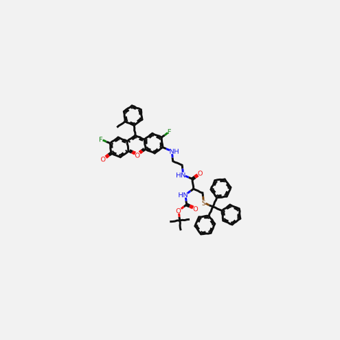 Cc1ccccc1-c1c2cc(F)c(=O)cc-2oc2cc(NCCNC(=O)C(CSC(c3ccccc3)(c3ccccc3)c3ccccc3)NC(=O)OC(C)(C)C)c(F)cc12